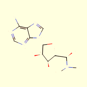 CCN(C=O)[C@H](O)[C@H]1O[C@@H](n2cnc3c(N)ncnc32)[C@H](O)[C@@H]1O